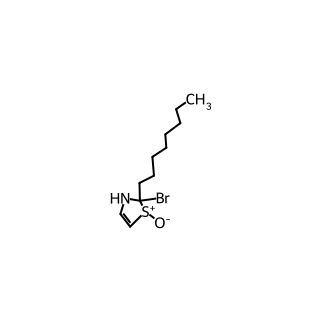 CCCCCCCCC1(Br)NC=C[S+]1[O-]